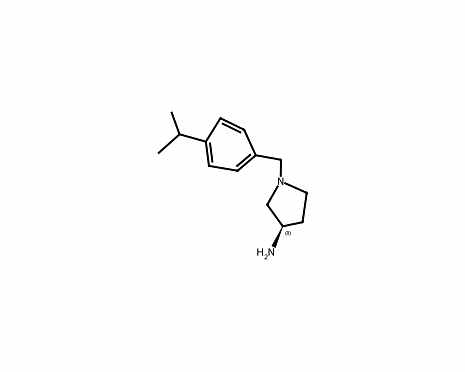 CC(C)c1ccc(CN2CC[C@@H](N)C2)cc1